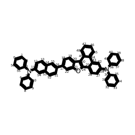 c1ccc(N(c2ccccc2)c2ccc3cc(-c4ccc5c(c4)oc4c6ccc(N(c7ccccc7)c7ccccc7)cc6c6ccccc6c54)ccc3c2)cc1